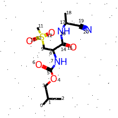 CC(C)COC(=O)NC(CS(C)(=O)=O)C(=O)NC(C)C#N